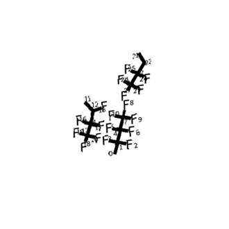 CC(F)(F)C(F)(F)C(F)(F)F.CC(F)C(F)(F)C(F)(F)F.CCC(F)(F)C(F)(F)F